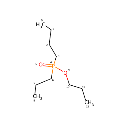 CCCCP(=O)(CCC)OCCC